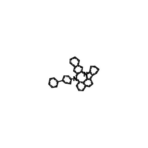 c1ccc(-c2ccc(-n3c4cccc5ccc6c7ccccc7n(c7cc8ccccc8cc73)c6c54)cc2)cc1